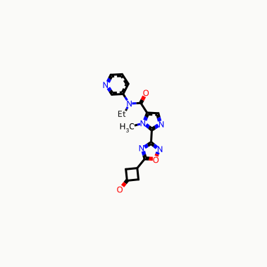 CCN(C(=O)c1cnc(-c2noc(C3CC(=O)C3)n2)n1C)c1cccnc1